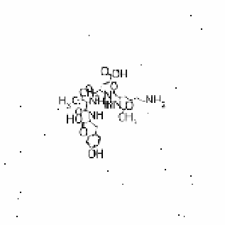 CC(=O)N[C@@H](CCCCN)C(=O)N[C@@H](CCC(=O)O)C(=O)N[C@H](C(=O)N[C@@H](Cc1ccc(O)cc1)C(=O)O)C(C)C